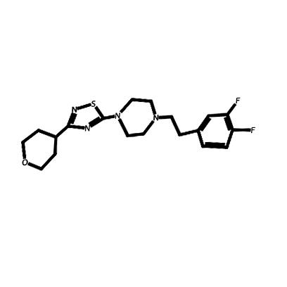 Fc1ccc(CCN2CCN(c3nc(C4CCOCC4)ns3)CC2)cc1F